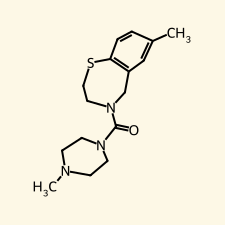 Cc1ccc2c(c1)CN(C(=O)N1CCN(C)CC1)CCS2